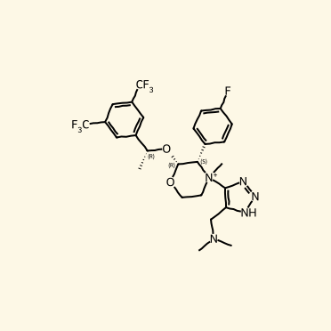 C[C@@H](O[C@H]1OCC[N+](C)(c2nn[nH]c2CN(C)C)[C@H]1c1ccc(F)cc1)c1cc(C(F)(F)F)cc(C(F)(F)F)c1